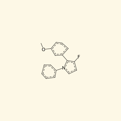 COc1cccc(-c2c(F)ccn2-c2ccccc2)c1